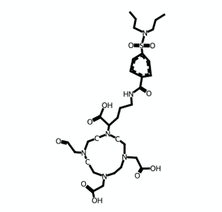 CCCN(CCC)S(=O)(=O)c1ccc(C(=O)NCCCC(C(=O)O)N2CCN(CC=O)CCN(CC(=O)O)CCN(CC(=O)O)CC2)cc1